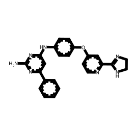 Nc1nc(Nc2ccc(Oc3ccnc(C4=NCCN4)c3)cc2)cc(-c2ccccc2)n1